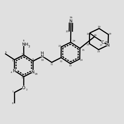 CCOc1nc(C)c(N)c(NCc2ccc(C3CN4CCC3CC4)c(C#N)c2)n1